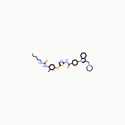 CCCCCNC(=O)Nc1ccc(Oc2cnc(NC(=O)c3ccc(-n4cc(CN5CCCCC5)c5ccccc54)cc3)s2)cc1C